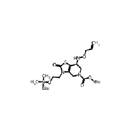 C=CCONC1CN(C(=O)OC(C)(C)C)Cc2c1sc(=O)n2CCO[Si](C)(C)C(C)(C)C